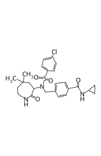 CC1(C)CCNC(=O)C(N(Cc2ccc(C(=O)NC3CC3)cc2)S(=O)(=O)c2ccc(Cl)cc2)C1